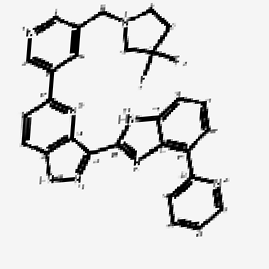 FC1(F)CCN(Cc2cncc(-c3ccc4[nH]nc(-c5nc6c(-c7ccccn7)cccc6[nH]5)c4n3)c2)C1